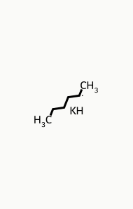 C[CH]CCCC.[KH]